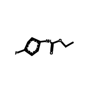 C[CH]OC(=O)Nc1ccc(F)cc1